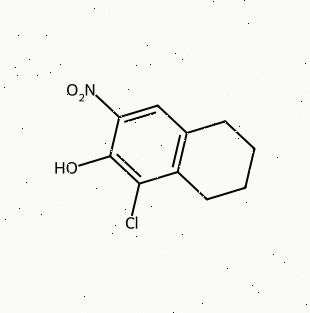 O=[N+]([O-])c1cc2c(c(Cl)c1O)CCCC2